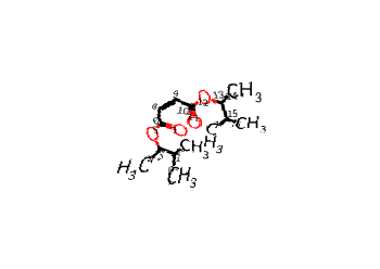 CC(C)C(C)OC(=O)/C=C\C(=O)OC(C)C(C)C